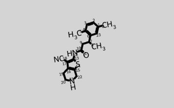 Cc1ccc(C)c(C(C)CC(=O)Nc2sc3c(c2C#N)CCNC3)c1